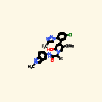 CCC(C(=O)Nc1ccc2nn(C)cc2c1)N1C=C(OC)C(c2cc(Cl)ccc2-n2cc(C(F)(F)F)nn2)=CC1O